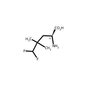 CC(C)(C[C@H](N)C(=O)O)C(F)F